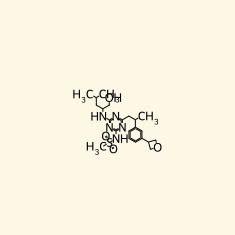 CC(C)CC(CO)Nc1nc(CC(C)c2cccc(C3COC3)c2)nc(NS(C)(=O)=O)n1